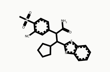 CS(=O)(=O)c1ccc(C(C(N)=O)C(c2nc3ccccc3s2)C2CCCC2)cc1C#N